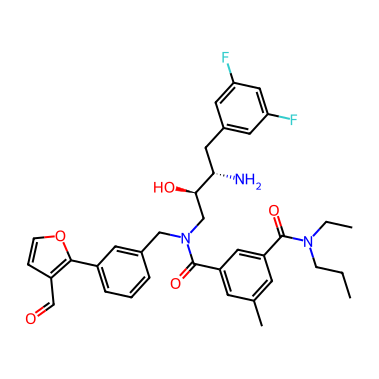 CCCN(CC)C(=O)c1cc(C)cc(C(=O)N(Cc2cccc(-c3occc3C=O)c2)C[C@@H](O)[C@@H](N)Cc2cc(F)cc(F)c2)c1